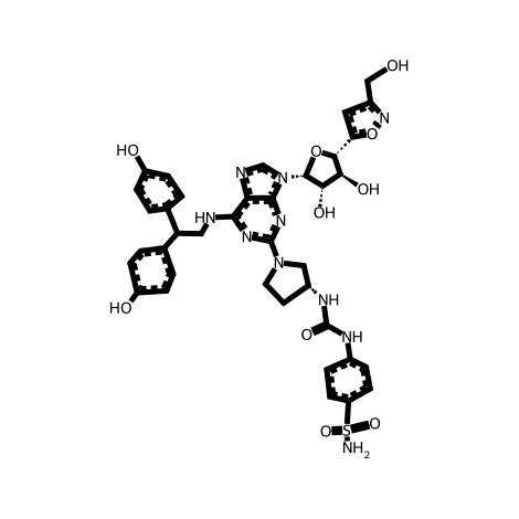 NS(=O)(=O)c1ccc(NC(=O)N[C@@H]2CCN(c3nc(NCC(c4ccc(O)cc4)c4ccc(O)cc4)c4ncn([C@@H]5O[C@H](c6cc(CO)no6)[C@@H](O)[C@@H]5O)c4n3)C2)cc1